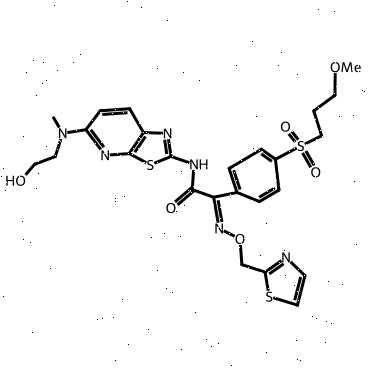 COCCCS(=O)(=O)c1ccc(/C(=N\OCc2nccs2)C(=O)Nc2nc3ccc(N(C)CCO)nc3s2)cc1